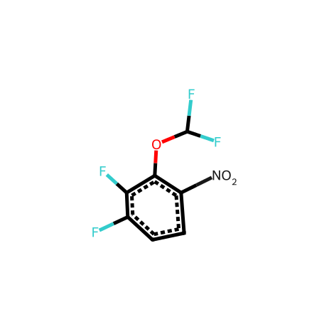 O=[N+]([O-])c1ccc(F)c(F)c1OC(F)F